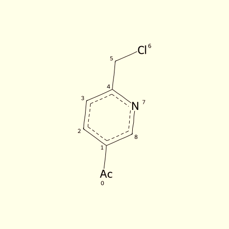 CC(=O)c1ccc(CCl)nc1